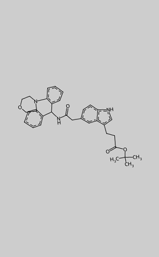 CC(C)(C)OC(=O)CCc1c[nH]c2ccc(CC(=O)NC(c3ccccc3)c3ccccc3N3CCOCC3)cc12